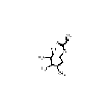 C=CC(=O)OCCC(C)C(C)C(C)CO